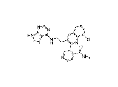 NC(=O)c1ccncc1-c1nc2c(Cl)cccc2cc1CCNc1ncnc2[nH]cnc12